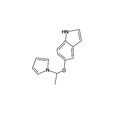 CC(Oc1ccc2[nH]ccc2c1)n1cccc1